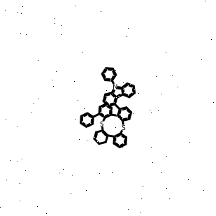 C1=CC2=C(CC1)c1ccccc1Sc1cccc(-c3cccc4c3c3ccccc3n4-c3ccccc3)c1-c1cccc(-c3ccccc3)c1S2